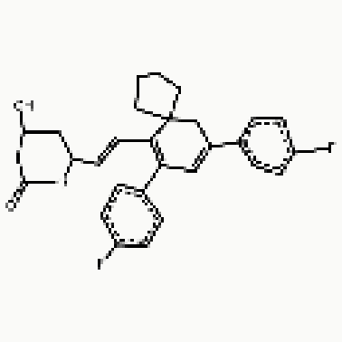 O=C1CC(O)CC(C=CC2=C(c3ccc(F)cc3)C=C(c3ccc(F)cc3)CC23CCCC3)O1